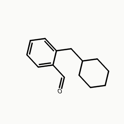 O=Cc1ccccc1CC1CCCCC1